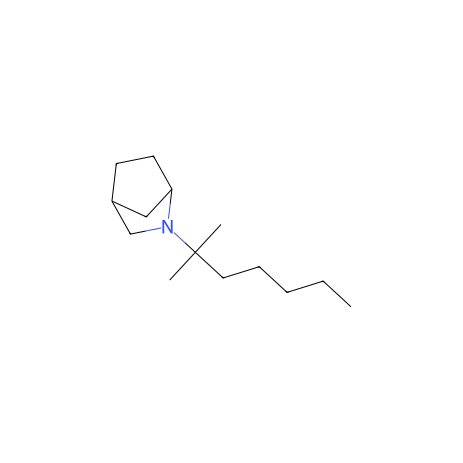 CCCCCC(C)(C)N1CC2CCC1C2